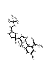 CC1(c2cnn3c2[nH]c2cc(F)cc(C(N)=O)c23)CCN(CCS(C)(=O)=O)C1